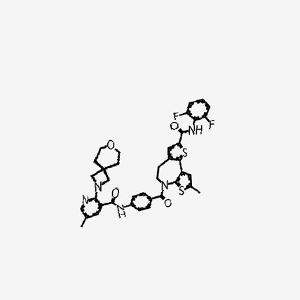 Cc1cnc(N2CC3(CCOCC3)C2)c(C(=O)Nc2ccc(C(=O)N3CCc4cc(C(=O)Nc5c(F)cccc5F)sc4-c4cc(C)sc43)cc2)c1